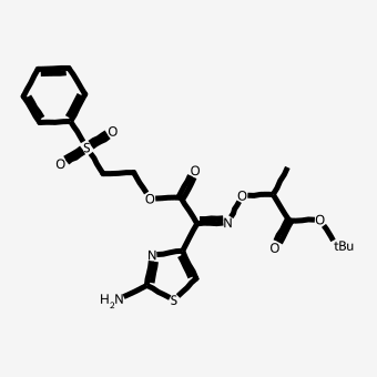 CC(O/N=C(\C(=O)OCCS(=O)(=O)c1ccccc1)c1csc(N)n1)C(=O)OC(C)(C)C